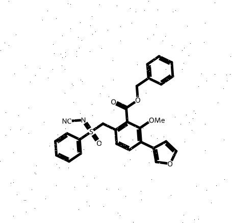 COc1c(-c2ccoc2)ccc(CS(=O)(=NC#N)c2ccccc2)c1C(=O)OCc1ccccc1